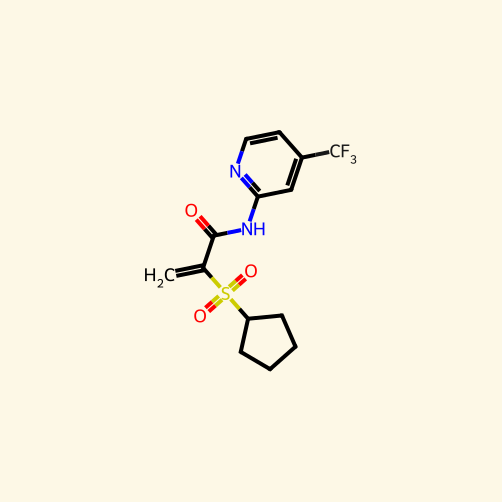 C=C(C(=O)Nc1cc(C(F)(F)F)ccn1)S(=O)(=O)C1CCCC1